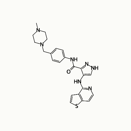 CN1CCN(Cc2ccc(NC(=O)c3n[nH]cc3Nc3nccc4sccc34)cc2)CC1